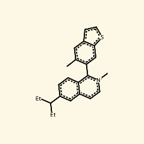 CCC(CC)c1ccc2c(-c3cc4sccc4cc3C)[n+](C)ccc2c1